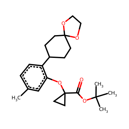 Cc1ccc(C2CCC3(CC2)OCCO3)c(OC2(C(=O)OC(C)(C)C)CC2)c1